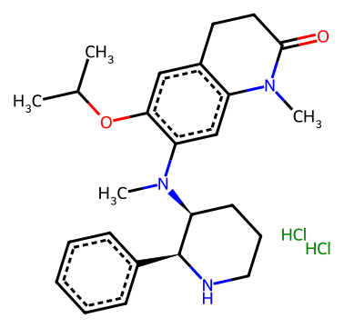 CC(C)Oc1cc2c(cc1N(C)[C@H]1CCCN[C@H]1c1ccccc1)N(C)C(=O)CC2.Cl.Cl